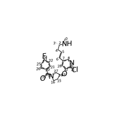 CN[C@@H](C)CC=Cc1cnc(Cl)c(O[C@@H]2CCN(C(=O)c3ccc(F)cc3)C2)c1